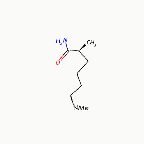 CNCCCC[C@H](C)C(N)=O